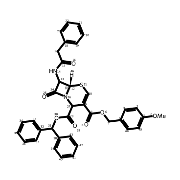 COc1ccc(COC(=O)C2=CS[C@H]3C(NC(=O)Cc4ccccc4)C(=O)N3C2C(=O)OC(c2ccccc2)c2ccccc2)cc1